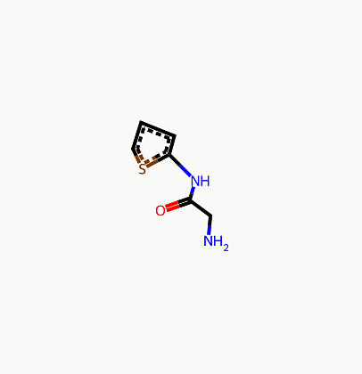 NCC(=O)Nc1cccs1